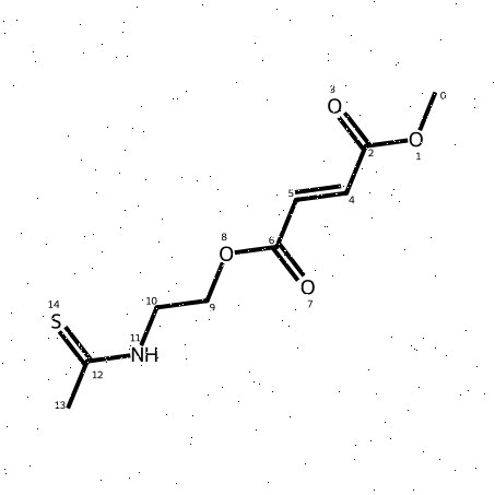 COC(=O)/C=C/C(=O)OCCNC(C)=S